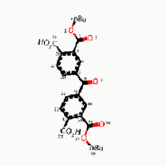 CCCCOC(=O)c1cc(C(=O)c2ccc(C(=O)O)c(C(=O)OCCCC)c2)ccc1C(=O)O